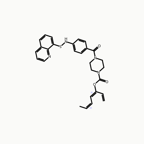 C=C/C(=C\C=C/C)OC(=O)N1CCN(C(=O)c2ccc(NSc3cccc4cccnc34)cc2)CC1